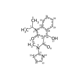 CC(C)n1c(=O)c(C(=O)N(C)c2nccs2)c(O)c2ccccc21